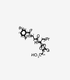 CC(C)C[C@H](NC(=O)CCNC(=O)c1cc(Br)ccc1F)B1OC(=O)[C@@H](CC(=O)O)O1